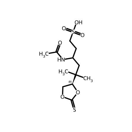 CC(=O)NC(CCS(=O)(=O)O)CC(C)(C)[C@@H]1COC(=S)O1